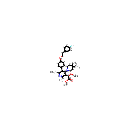 Cc1nc(C(=O)O)c(-c2ccc(OCCc3ccc(F)cc3)cc2)c(N2CCC(C)(C)CC2)c1C(OC(C)(C)C)C(=O)OC(C)C